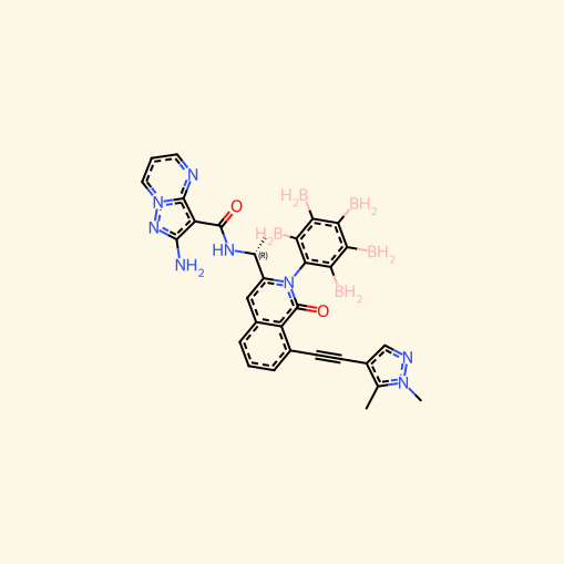 Bc1c(B)c(B)c(-n2c([C@@H](C)NC(=O)c3c(N)nn4cccnc34)cc3cccc(C#Cc4cnn(C)c4C)c3c2=O)c(B)c1B